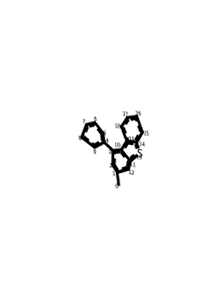 Cc1cc(-c2ccccc2)c2c(c1)sc1ccccc12